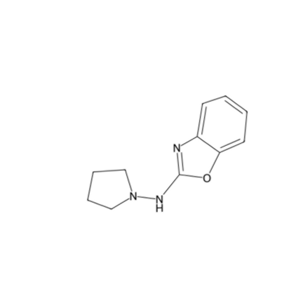 c1ccc2oc(NN3CCCC3)nc2c1